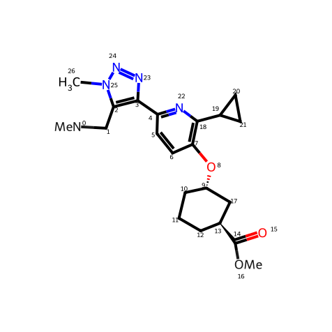 CNCc1c(-c2ccc(O[C@H]3CCC[C@H](C(=O)OC)C3)c(C3CC3)n2)nnn1C